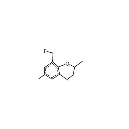 Cc1cc(CF)c2c(c1)CCC(C)O2